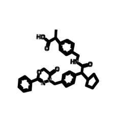 CC(C(=O)O)c1ccc(CNC(=O)C(c2ccc(CN3N=C(c4ccccc4)OCC3=O)cc2)C2CCCC2)cc1